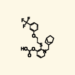 O=C(O)OC1=C(SCCOc2cccc(C(F)(F)F)c2)N(CC2CC3CCC2C3)CC=C1